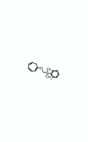 C[Si](C)(COC1=CC=CC=CC1)c1ccccc1